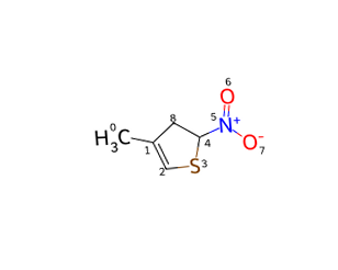 CC1=CSC([N+](=O)[O-])C1